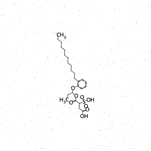 CCCCCCCCCCCCc1ccccc1OC(CC)OC(=O)C(CC(=O)O)S(=O)(=O)O